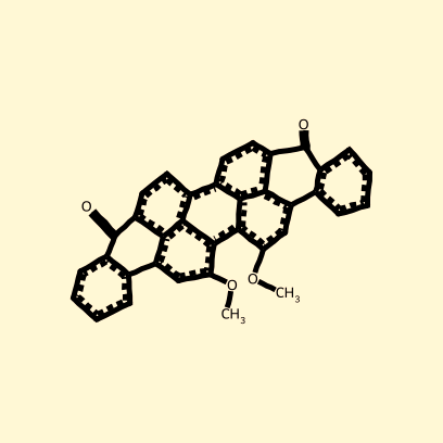 COc1cc2c3c(ccc4c5ccc6c7c(cc(OC)c(c1c34)c75)-c1ccccc1C6=O)C(=O)c1ccccc1-2